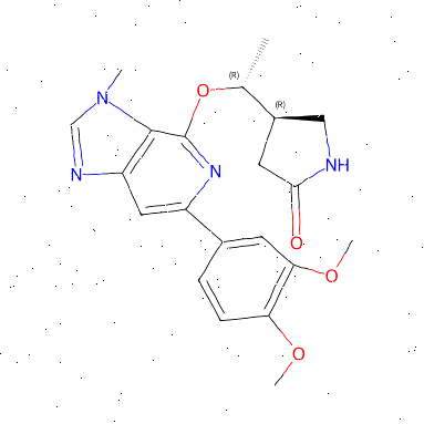 COc1ccc(-c2cc3ncn(C)c3c(O[C@H](C)[C@H]3CNC(=O)C3)n2)cc1OC